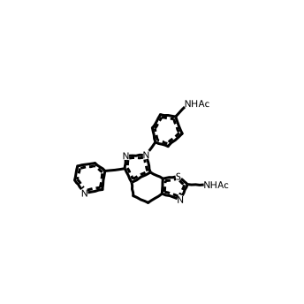 CC(=O)Nc1ccc(-n2nc(-c3cccnc3)c3c2-c2sc(NC(C)=O)nc2CC3)cc1